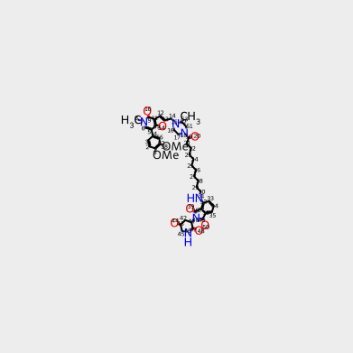 COc1ccc(-c2cn(C)c(=O)c3cc(CN4CCN(C(=O)CCCCCCCCCCNc5cccc6c5C(=O)N(C5CC(=O)CNC5=O)C6=O)C[C@H]4C)oc23)cc1OC